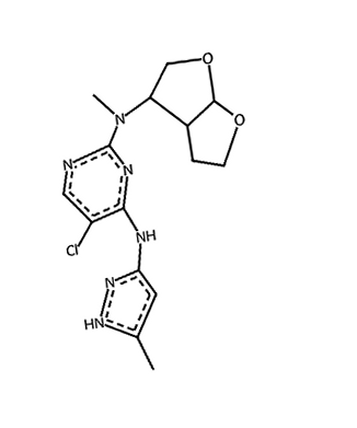 Cc1cc(Nc2nc(N(C)C3COC4OCCC43)ncc2Cl)n[nH]1